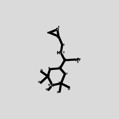 CCCC(NCC1CO1)C1CC(C)(C)N(C)C(C)(C)C1